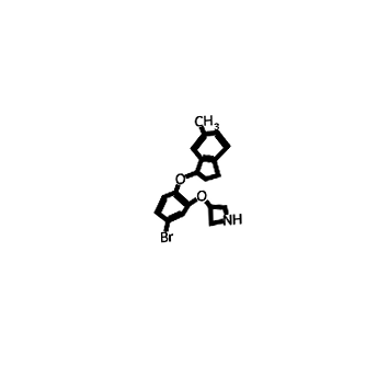 Cc1ccc2c(c1)C(Oc1ccc(Br)cc1OC1CNC1)CC2